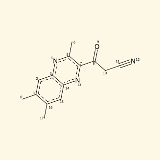 Cc1cc2nc(C)c(C(=O)CC#N)nc2cc1C